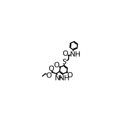 CCOC(=O)c1n[nH]c2c1C(=O)C(SCC(=O)Nc1ccccc1)=CC2=O